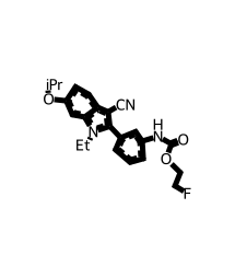 CCn1c(-c2cccc(NC(=O)OCCF)c2)c(C#N)c2ccc(OC(C)C)cc21